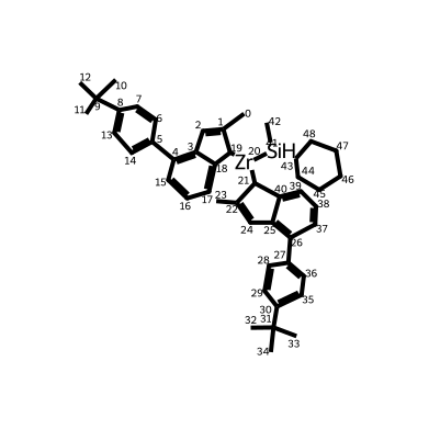 CC1=Cc2c(-c3ccc(C(C)(C)C)cc3)cccc2[CH]1[Zr]([CH]1C(C)=Cc2c(-c3ccc(C(C)(C)C)cc3)cccc21)[SiH](C)C1CCCCC1